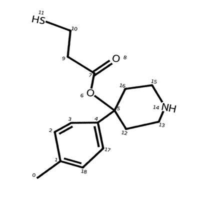 Cc1ccc(C2(OC(=O)CCS)CCNCC2)cc1